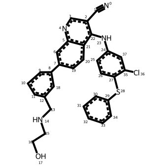 N#Cc1cnc2cc(-c3cccc(CNCCO)c3)ccc2c1Nc1ccc(Sc2ccccc2)c(Cl)c1